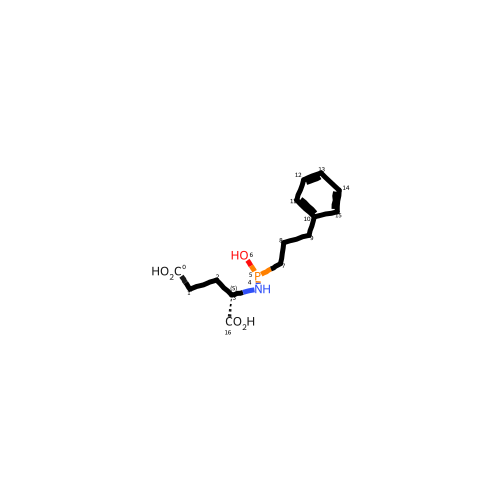 O=C(O)CC[C@H](NP(O)CCCc1ccccc1)C(=O)O